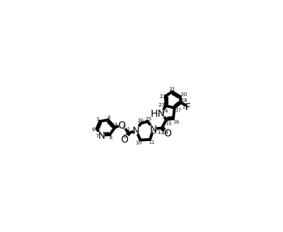 O=C(Oc1cccnc1)N1CCN(C(=O)c2cc3c(F)cccc3[nH]2)CC1